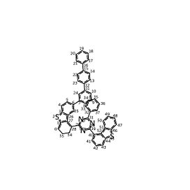 C1=c2sc3ccc(-c4cccc(-c5ccc(-c6ccccc6)cc5)c4)cc3c2=C(c2nc(-c3ccccc3)nc(-c3cccc4sc5ccccc5c34)n2)CC1